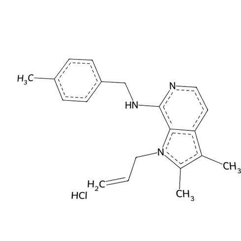 C=CCn1c(C)c(C)c2ccnc(NCc3ccc(C)cc3)c21.Cl